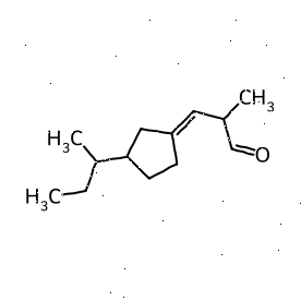 CCC(C)C1CCC(=CC(C)C=O)C1